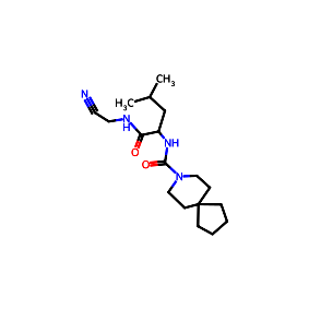 CC(C)CC(NC(=O)N1CCC2(CCCC2)CC1)C(=O)NCC#N